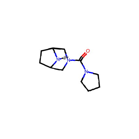 CC(C)N1C2CCC1CN(C(=O)N1CCCC1)C2